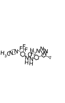 CN1CCN(Cc2ccc(NC(=O)Nc3ccc(-c4cc(C5CC5)n5ncnc(N)c45)cc3F)cc2C(F)(F)F)CC1